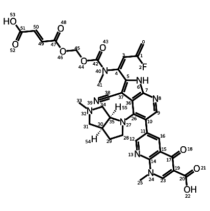 C=C(F)/C=C(\c1[nH]c2ncc(-c3cnc4c(c3)c(=O)c(C(=O)O)cn4C)c(N3CC[C@H]4CN(C)C[C@H]43)c2c1C#N)N(C)C(=O)OCOC(=O)/C=C/C(=O)O